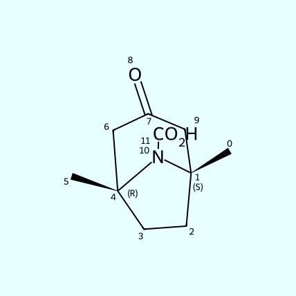 C[C@]12CC[C@](C)(CC(=O)C1)N2C(=O)O